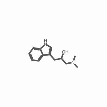 CN(C)CC(O)Cc1c[nH]c2ccccc12